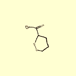 O=C(Cl)C1CCCOO1